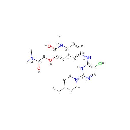 CCC1CCN(c2ncc(Cl)c(Nc3ccc4c(c3)cc(OCC(=O)N(C)C)c(=O)n4C)n2)CC1